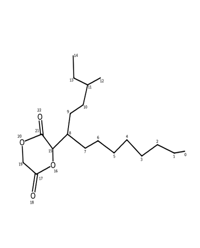 CCCCCCCCC(CCC(C)CC)C1OC(=O)COC1=O